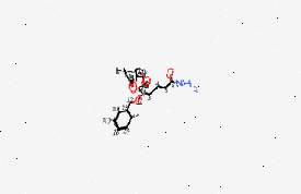 CO[Si](CCCC(N)=O)(OC)OCC1CCCCC1